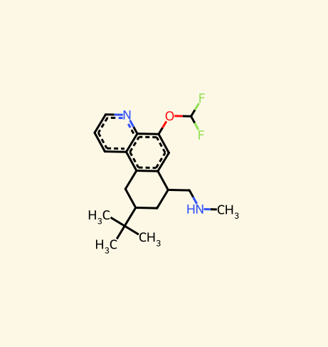 CNCC1CC(C(C)(C)C)Cc2c1cc(OC(F)F)c1ncccc21